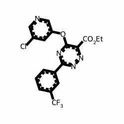 CCOC(=O)c1nnc(-c2cccc(C(F)(F)F)c2)nc1Oc1cncc(Cl)c1